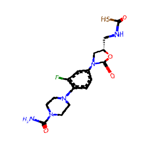 NC(=O)N1CCN(c2ccc(N3C[C@H](CNC(=O)S)OC3=O)cc2F)CC1